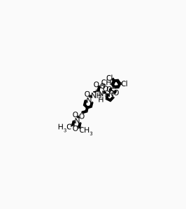 COC(=O)[C@H](CNC(=O)N1CCC(CCOC(=O)N2C[C@@H](C)O[C@@H](C)C2)CC1)NC(=O)[C@@H]1CCCN1S(=O)(=O)c1cc(Cl)cc(Cl)c1